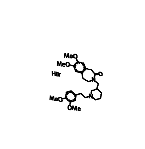 Br.COc1ccc(CCN2CCCC(CN3CCc4cc(OC)c(OC)cc4CC3=O)C2)cc1OC